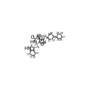 CC(C)(C)OC(=O)NC(Cc1c[nH]c2ccccc12)c1nc(Cc2ccc(-c3ccccc3)cc2)no1